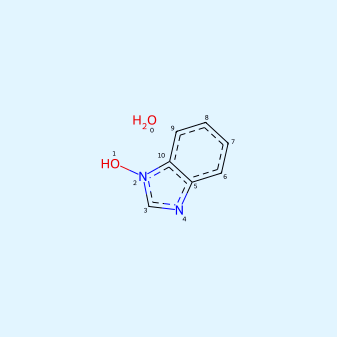 O.On1cnc2ccccc21